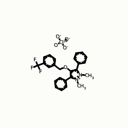 Cn1c(-c2ccccc2)c(OCc2cccc(C(F)(F)F)c2)c(-c2ccccc2)[n+]1C.[O-][Cl+3]([O-])([O-])[O-]